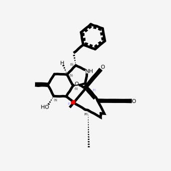 C=C1C[C@H]2[C@H](Cc3ccccc3)NC[C@]23OC(=O)/C=C/C(=O)CCC[C@@H](C)C/C=C/C3[C@@H]1O